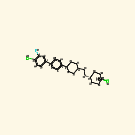 Fc1cc(-c2ccc(C3CCC(CC[C@H]4CC[Si@H](Cl)CC4)CC3)cc2)ccc1Cl